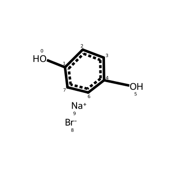 Oc1ccc(O)cc1.[Br-].[Na+]